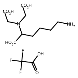 NCCCCC(C(=O)O)N(CC(=O)O)CC(=O)O.O=C(O)C(F)(F)F